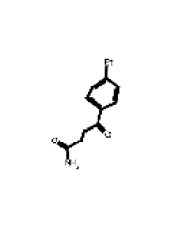 CCc1ccc(C(=O)CCC(N)=O)cc1